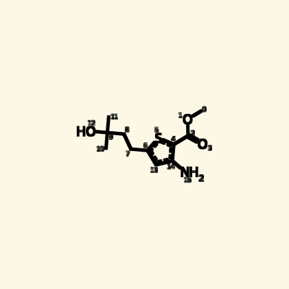 COC(=O)c1sc(CCC(C)(C)O)cc1N